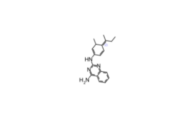 CC/C(C)=C1\C=CC(Nc2nc(N)c3ccccc3n2)=CC1C